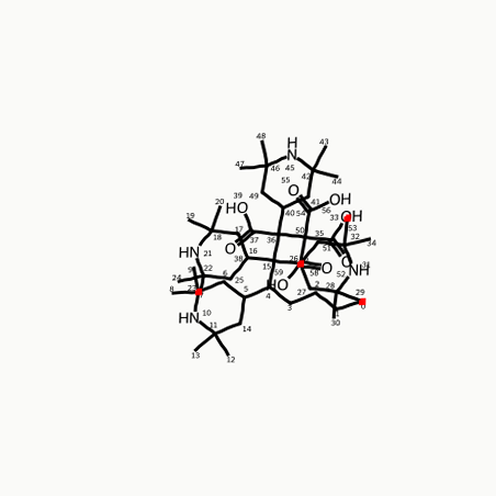 CCCCC(C1CC(C)(C)NC(C)(C)C1)C(C1CC(C)(C)NC(C)(C)C1)(C1CC(C)(C)NC(C)(C)C1)C(C(=O)O)(C1CC(C)(C)NC(C)(C)C1)C(C(=O)O)(C(=O)O)C(=O)O